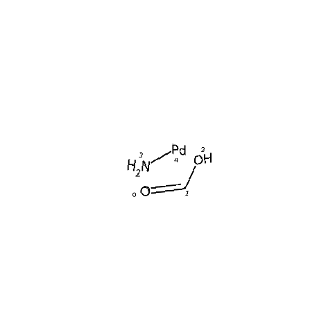 O=CO.[NH2][Pd]